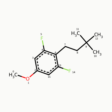 COc1cc(F)c(CCC(C)(C)C)c(F)c1